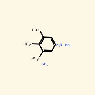 N.N.N.O=C(O)c1cccc(S(=O)(=O)O)c1C(=O)O